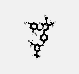 Cc1ccc(Cn2c(-c3ccc(Oc4cc(C(F)(F)F)cc(C(F)(F)F)c4)cc3)cc(C(F)(F)F)c(C#N)c2=O)c(C)c1